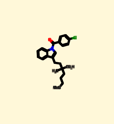 COCCCC(C)(CCc1cn(C(=O)c2ccc(Cl)cc2)c2ccccc12)C(=O)O